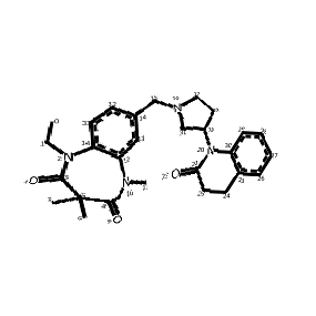 CCN1C(=O)C(C)(C)C(=O)N(C)c2cc(CN3CCC(N4C(=O)CCc5ccccc54)C3)ccc21